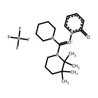 CC1(C)CCCN(C(=[O+]n2ccccc2=O)N2CCCCC2)C1(C)C.F[B-](F)(F)F